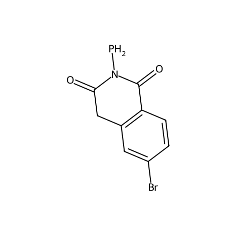 O=C1Cc2cc(Br)ccc2C(=O)N1P